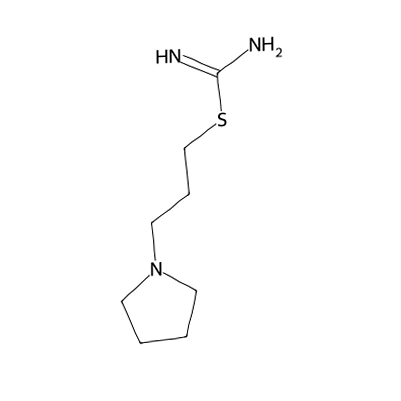 N=C(N)SCCCN1CCCC1